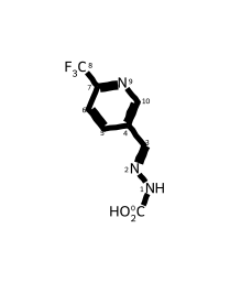 O=C(O)N/N=C/c1ccc(C(F)(F)F)nc1